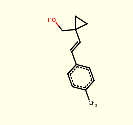 OCC1(C=Cc2ccc(C(F)(F)F)cc2)CC1